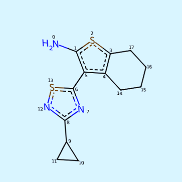 Nc1sc2c(c1-c1nc(C3CC3)ns1)CCCC2